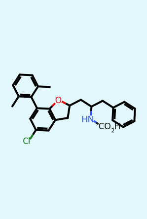 Cc1cccc(C)c1-c1cc(Cl)cc2c1OC(CC(Cc1ccccc1)NC(=O)O)C2